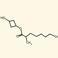 CCCCCCC(C)C(=O)OC1CC(O)C1